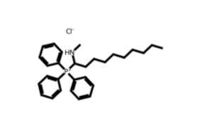 CCCCCCCCCC(NC)[P+](c1ccccc1)(c1ccccc1)c1ccccc1.[Cl-]